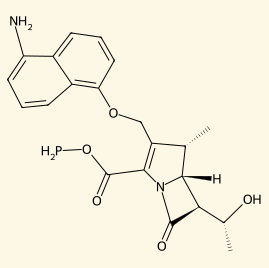 C[C@@H](O)[C@H]1C(=O)N2C(C(=O)OP)=C(COc3cccc4c(N)cccc34)[C@H](C)[C@H]12